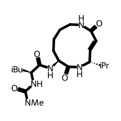 CCC(C)[C@H](NC(=O)NC)C(=O)N[C@H]1CCCCNC(=O)/C=C/[C@H](C(C)C)NC1=O